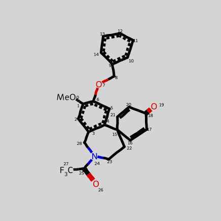 COc1cc2c(cc1OCc1ccccc1)C1(C=CC(=O)C=C1)CCN(C(=O)C(F)(F)F)C2